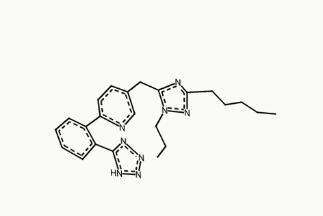 CCCCCc1nc(Cc2ccc(-c3ccccc3-c3nnn[nH]3)nc2)n(CCC)n1